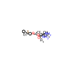 CCc1ccccc1-c1cc2ccc(OCC(COC(=O)C(C)(C)C(N)CC(C)(C)N)CC(F)(F)F)cc2s1